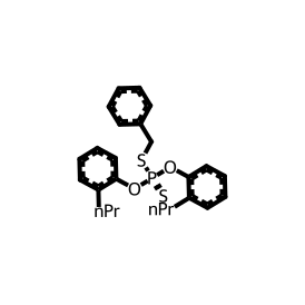 CCCc1ccccc1OP(=S)(Oc1ccccc1CCC)SCc1ccccc1